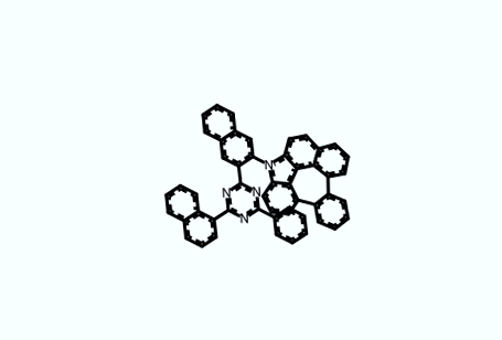 c1ccc(-c2nc(-c3cc4ccccc4cc3-n3c4cccc5c4c4c6c(cccc6ccc43)-c3ccccc3-5)nc(-c3cccc4ccccc34)n2)cc1